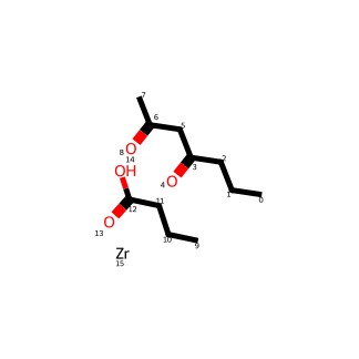 CCCC(=O)CC(C)=O.CCCC(=O)O.[Zr]